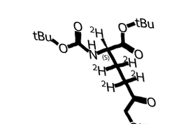 [2H]C([2H])(C(=O)CO)C([2H])([2H])[C@]([2H])(NC(=O)OC(C)(C)C)C(=O)OC(C)(C)C